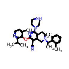 Cc1ccnc(C(C)C)c1Oc1nc(N2CCNCC2)c2c(c1C#N)CN(C(C)c1c(C)cccc1C)CC2